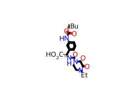 CCN1CCN(C(=O)N[C@H](C(=O)O)c2cccc(NC(=O)OC(C)(C)C)c2)C(=O)C1=O